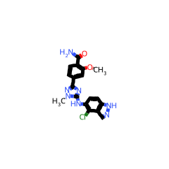 COc1cc(-c2nc(Nc3ccc4[nH]ncc4c3Cl)n(C)n2)ccc1C(N)=O